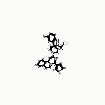 CC(=O)NC1(c2cccc(F)c2)CCN(CCC2c3ccccc3CCN2C(=O)c2ccsc2)CC1